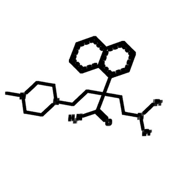 CC(C)N(CCC(CCN1CCN(C)CC1)(C(N)=O)c1cccc2ccccc12)C(C)C